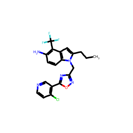 CCCc1cc2c(C(F)(F)F)c(N)ccc2n1Cc1noc(-c2cnccc2Cl)n1